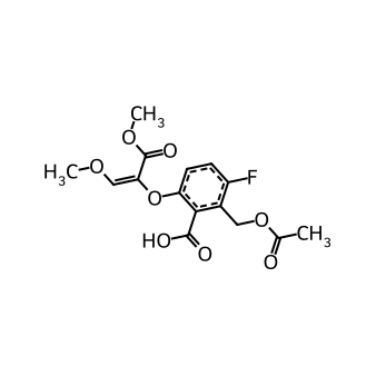 COC=C(Oc1ccc(F)c(COC(C)=O)c1C(=O)O)C(=O)OC